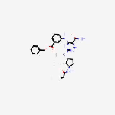 C=CC(=O)NC1CC[C@@H](N(C)c2nnc(C(N)=O)c(Nc3cccc(C(=O)OCc4ccccc4)c3)n2)[C@H]1C